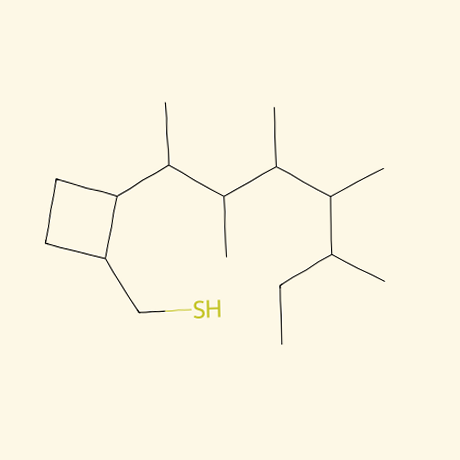 CCC(C)C(C)C(C)C(C)C(C)C1CCC1CS